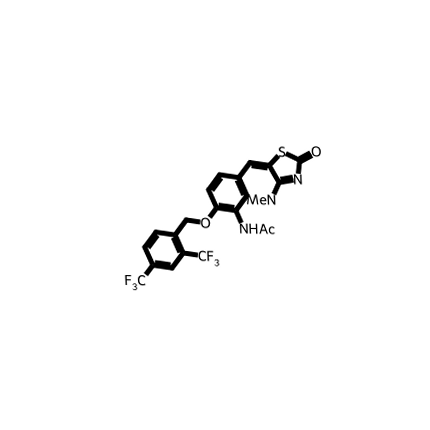 CNC1=NC(=O)SC1=Cc1ccc(OCc2ccc(C(F)(F)F)cc2C(F)(F)F)c(NC(C)=O)c1